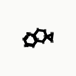 [c]1ncnc2c1CC1(CC2)CC1